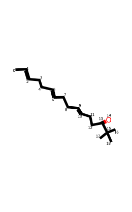 C/C=C/CC/C=C/CC/C=C/CCC(=O)C(C)(C)C